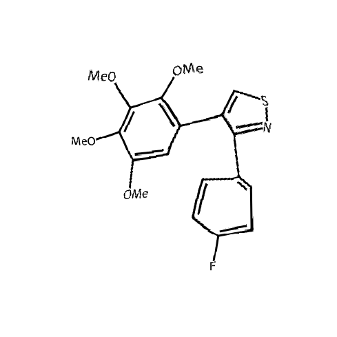 COc1cc(-c2csnc2-c2ccc(F)cc2)c(OC)c(OC)c1OC